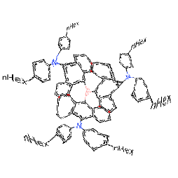 CCCCCCc1ccc(N(c2ccc(CCCCCC)cc2)c2c3ccccc3c(B(c3c4ccccc4c(N(c4ccc(CCCCCC)cc4)c4ccc(CCCCCC)cc4)c4ccccc34)c3c4ccccc4c(N(c4ccc(CCCCCC)cc4)c4ccc(CCCCCC)cc4)c4ccccc34)c3ccccc23)cc1